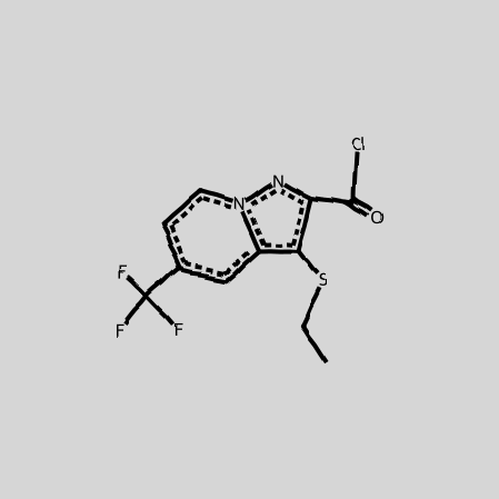 CCSc1c(C(=O)Cl)nn2ccc(C(F)(F)F)cc12